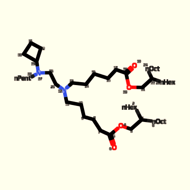 CCCCCCCCC(CCCCCC)COC(=O)CCCCCN(CCCCCC(=O)OCC(CCCCCC)CCCCCCCC)CCN(CCCCC)C1CCC1